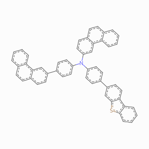 c1ccc2c(c1)ccc1ccc(-c3ccc(N(c4ccc(-c5ccc6c(c5)sc5ccccc56)cc4)c4ccc5ccc6ccccc6c5c4)cc3)cc12